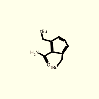 CC(C)(C)Cc1cccc(CC(C)(C)C)c1C(N)=O